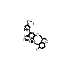 Cc1cnn(-c2cc3c(n4cnnc24)NCc2c(F)ccc4c2[C@@H](CO4)CO3)c1